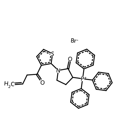 C=CCC(=O)c1ccsc1N1CCC([P+](c2ccccc2)(c2ccccc2)c2ccccc2)C1=O.[Br-]